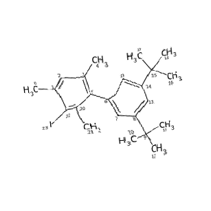 Cc1cc(C)c(-c2cc(C(C)(C)C)cc(C(C)(C)C)c2)c(C)c1I